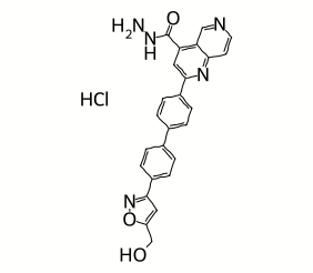 Cl.NNC(=O)c1cc(-c2ccc(-c3ccc(-c4cc(CO)on4)cc3)cc2)nc2ccncc12